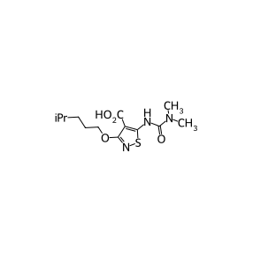 CC(C)CCCOc1nsc(NC(=O)N(C)C)c1C(=O)O